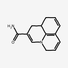 NC(=O)C1=CN2CC=CC3=C2C(CC=C3)C1